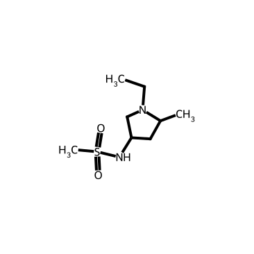 CCN1CC(NS(C)(=O)=O)CC1C